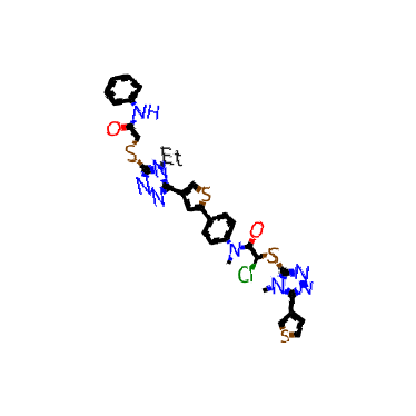 CCn1c(SCC(=O)Nc2ccccc2)nnc1-c1csc(-c2ccc(N(C)C(=O)C(Cl)Sc3nnc(-c4ccsc4)n3C)cc2)c1